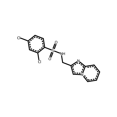 O=S(=O)(NCc1cn2ccccc2n1)c1ccc(Cl)cc1Cl